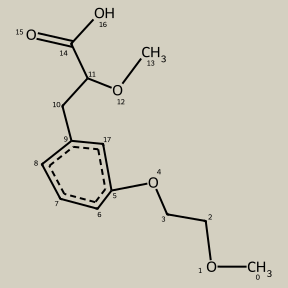 COCCOc1cccc(CC(OC)C(=O)O)c1